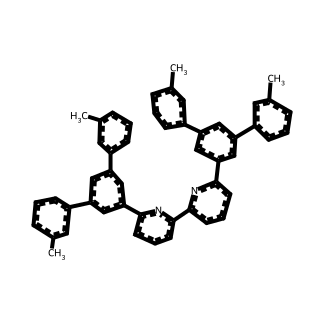 Cc1cccc(-c2cc(-c3cccc(C)c3)cc(-c3cccc(-c4cccc(-c5cc(-c6cccc(C)c6)cc(-c6cccc(C)c6)c5)n4)n3)c2)c1